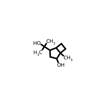 CC(C)(O)C1CC(O)C2(C)CCC12